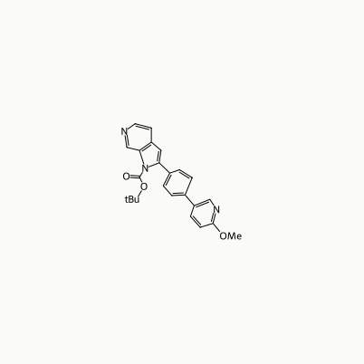 COc1ccc(-c2ccc(-c3cc4ccncc4n3C(=O)OC(C)(C)C)cc2)cn1